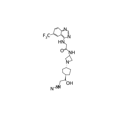 [N-]=[N+]=NCC(O)[C@H]1CC[C@H](N2CC(NC(=O)CNc3ncnc4ccc(C(F)(F)F)cc34)C2)CC1